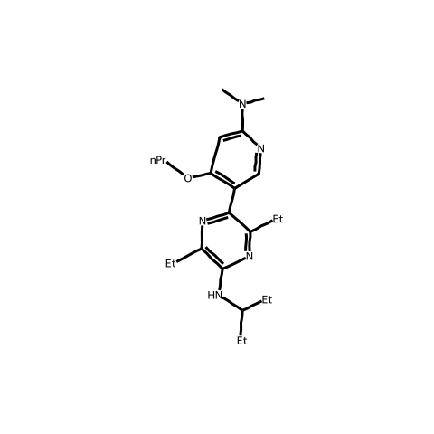 CCCOc1cc(N(C)C)ncc1-c1nc(CC)c(NC(CC)CC)nc1CC